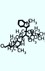 CN(C/C=C/CO)C(O)C(CC(C)(C)C)NC(=O)C(N(C)C(=O)OC(C)(C)C)C(C)(C)c1cn(C)c2ccccc12